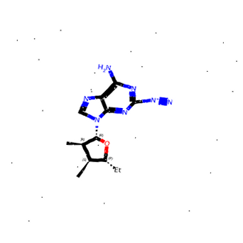 CC[C@H]1O[C@@H](n2cnc3c(N)nc([N+]#N)nc32)[C@H](C)[C@@H]1C